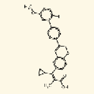 COc1ccc(F)c(-c2ccc(C3=Cc4cc(/C(=C(/C)C(=O)O)C5CC5)ccc4SC3)cc2)c1